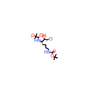 COC(C)(C)C(O)N[C@@H](CCCCNC(=O)OC(C)(C)C)C(=O)CCl